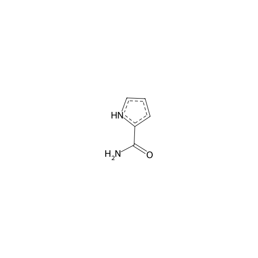 NC(=O)c1ccc[nH]1